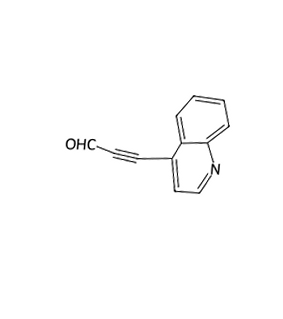 O=CC#Cc1ccnc2ccccc12